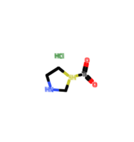 Cl.[O]=[Ti](=[O])[SH]1CCNC1